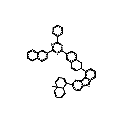 CC12C=CC=CC1C(c1ccc3oc4cccc(C5C=Cc6cc(-c7nc(-c8ccccc8)nc(-c8ccc9ccccc9c8)n7)ccc6C5)c4c3c1)=CC=C2